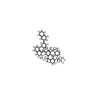 CC1(C)c2cccc3c2N2c4c1cccc4C(C)(I)c1cc(N(c4ccc(-c5ccc6ccccc6c5)cc4)c4cccc5ccccc45)cc(c12)C3(C)C